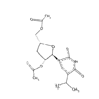 CC(=O)OC[C@H]1C[C@@H](OC(C)=O)[C@H](n2cc(C(C)C)c(=O)[nH]c2=O)O1